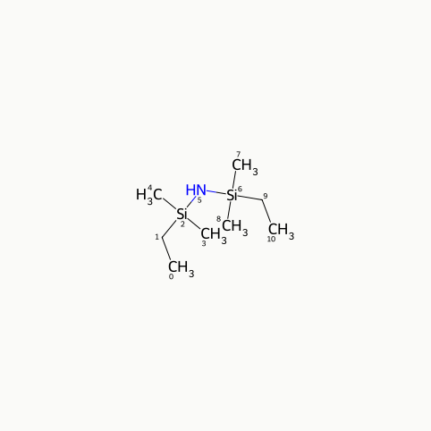 CC[Si](C)(C)N[Si](C)(C)CC